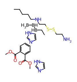 BBBCC.CCCCCNCCSSCCN.COC(=O)c1ccccc1C(=O)OC.c1c[nH]cn1.c1c[nH]cn1